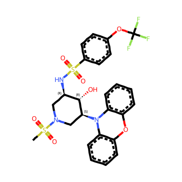 CS(=O)(=O)N1C[C@@H](NS(=O)(=O)c2ccc(OC(F)(F)F)cc2)[C@H](O)[C@@H](N2c3ccccc3Oc3ccccc32)C1